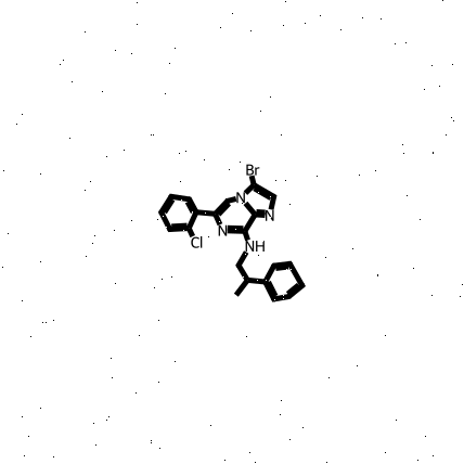 CC(CNc1nc(-c2ccccc2Cl)cn2c(Br)cnc12)c1ccccc1